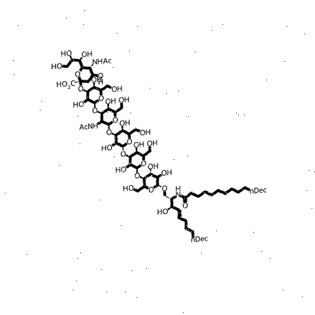 CCCCCCCCCCCCC/C=C/[C@@H](O)[C@H](CO[C@@H]1OC(CO)[C@@H](O[C@@H]2OC(CO)[C@H](O)[C@H](O[C@H]3OC(CO)[C@H](O)[C@H](O[C@@H]4OC(CO)[C@H](O)[C@H](O[C@@H]5OC(CO)[C@H](O)[C@H](O[C@]6(C(=O)O)CC(O)[C@@H](NC(C)=O)C([C@H](O)[C@H](O)CO)O6)C5O)C4NC(C)=O)C3O)C2O)[C@H](O)C1O)NC(=O)CCCCCCCCCCCCCCCCCCC